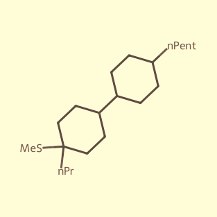 CCCCCC1CCC(C2CCC(CCC)(SC)CC2)CC1